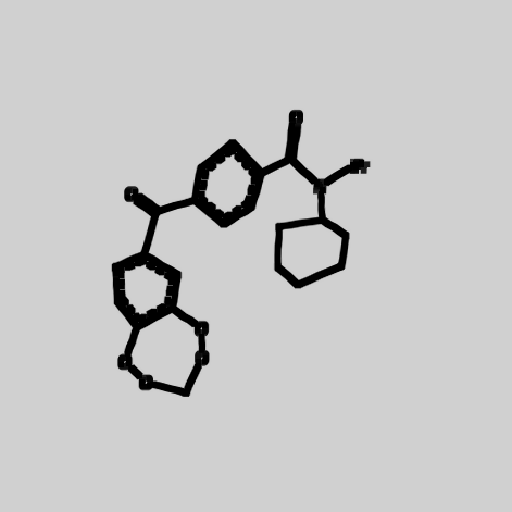 CC(C)N(C(=O)c1ccc(C(=O)c2ccc3c(c2)OOCOO3)cc1)C1CCCCC1